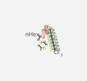 CCCCCCC(=O)C[S+]1CCSCC1.O=S(=O)([O-])C(F)(F)C(F)(F)C(F)(F)C(F)(F)C(F)(F)C(F)(F)C(F)(F)C(F)(F)F